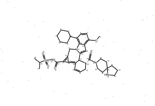 COc1ccc(C2CCCCC2)c2c1cc1n2CC2=C(C(=O)NS(=O)(=O)C(C)C)C2=C2C=CC[C@@H](C(=O)N3CCC4(CCCN4)CC3)C21